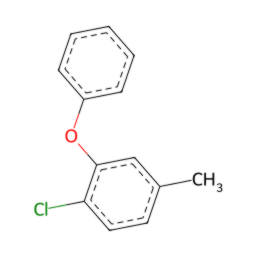 Cc1ccc(Cl)c(Oc2ccccc2)c1